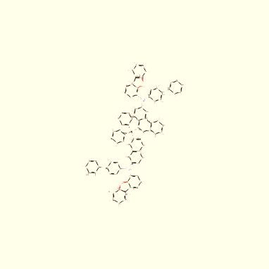 c1ccc(-c2ccc(N(c3ccc4cc5c(cc4c3)C(c3ccccc3)(c3ccccc3)c3c-5c4ccccc4c4cc(N(c5ccc(-c6ccccc6)cc5)c5cccc6c5oc5ccccc56)ccc34)c3cccc4c3oc3ccccc34)cc2)cc1